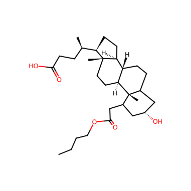 CCCCOC(=O)CC1C[C@@H](O)CC2CC[C@@H]3[C@H](CC[C@]4(C)[C@@H]([C@H](C)CCC(=O)O)CC[C@@H]34)[C@]21C